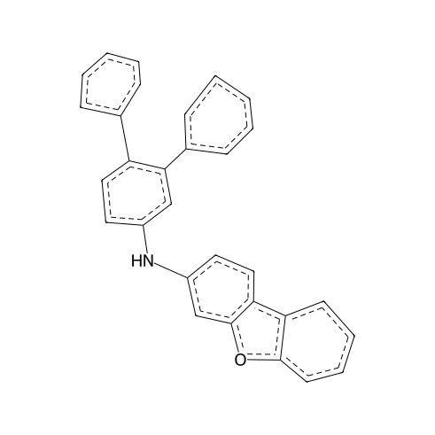 c1ccc(-c2ccc(Nc3ccc4c(c3)oc3ccccc34)cc2-c2ccccc2)cc1